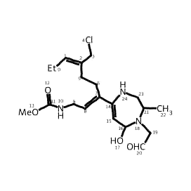 CC/C=C(/CCl)CC/C(=C\CNC(=O)OC)C1=CC(O)N(CC=O)C(C)CN1